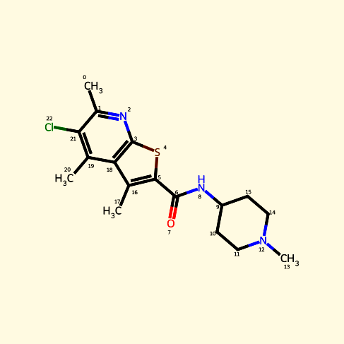 Cc1nc2sc(C(=O)NC3CCN(C)CC3)c(C)c2c(C)c1Cl